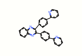 c1ccc(-c2ccc(-c3nc4ccccc4nc3-c3ccc(-c4ccccn4)cc3)cc2)nc1